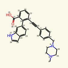 CN1CCN(Cc2ccc(C#Cc3cccc(C(=O)O)c3-c3ccc4cc[nH]c4c3)cc2)CC1